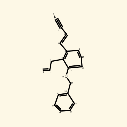 C=CCc1c(C=CC#N)cccc1OCc1ccccc1